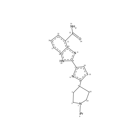 CC(C)N1CCC(c2nc(-c3nc4c(C(N)=O)cccc4[nH]3)cs2)CC1